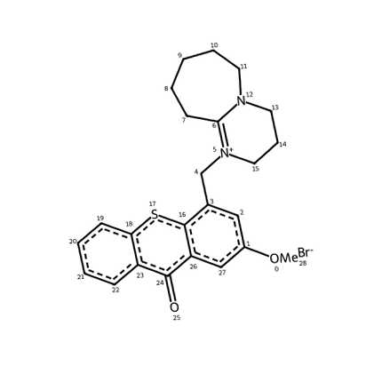 COc1cc(C[N+]2=C3CCCCCN3CCC2)c2sc3ccccc3c(=O)c2c1.[Br-]